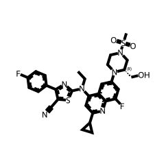 CCN(c1nc(-c2ccc(F)cc2)c(C#N)s1)c1cc(C2CC2)nc2c(F)cc(N3CCN(S(C)(=O)=O)C[C@@H]3CO)cc12